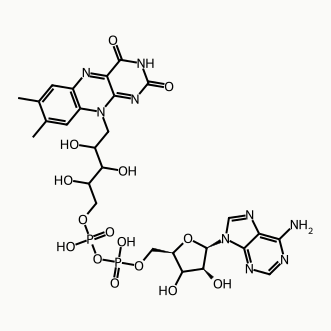 Cc1cc2nc3c(=O)[nH]c(=O)nc-3n(CC(O)C(O)C(O)COP(=O)(O)OP(=O)(O)OC[C@H]3O[C@@H](n4cnc5c(N)ncnc54)[C@@H](O)C3O)c2cc1C